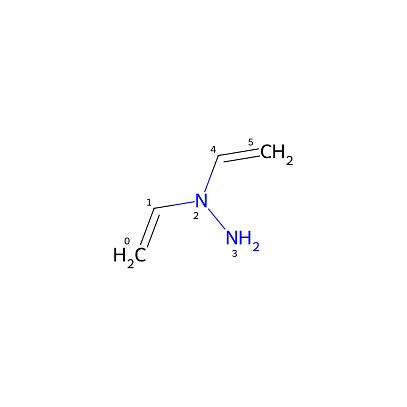 C=CN(N)C=C